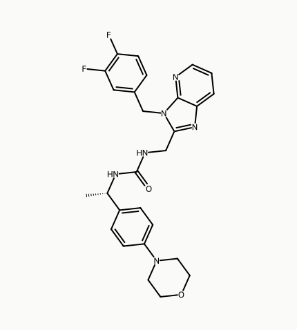 C[C@H](NC(=O)NCc1nc2cccnc2n1Cc1ccc(F)c(F)c1)c1ccc(N2CCOCC2)cc1